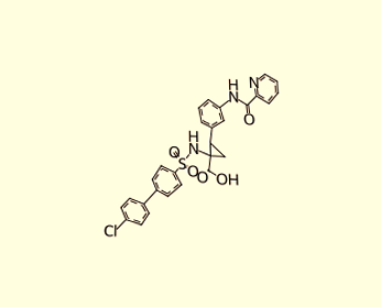 O=C(Nc1cccc(C2CC2(NS(=O)(=O)c2ccc(-c3ccc(Cl)cc3)cc2)C(=O)O)c1)c1ccccn1